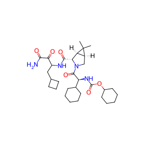 CC1(C)[C@@H]2[C@@H](C(=O)NC(CC3CCC3)C(=O)C(N)=O)N(C(=O)[C@@H](NC(=O)OC3CCCCC3)C3CCCCC3)C[C@@H]21